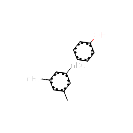 CCCCc1cc(C)cc(CCCC)c1.Oc1ccccc1